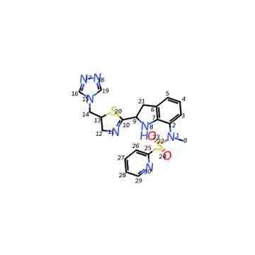 CN(c1cccc2c1NC(C1=NCC(Cn3cnnc3)S1)C2)S(=O)(=O)c1ccccn1